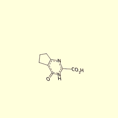 O=C(O)c1nc2c(c(=O)[nH]1)CCC2